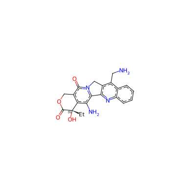 CC[C@@]1(O)C(=O)OCc2c1c(N)c1n(c2=O)Cc2c-1nc1ccccc1c2CN